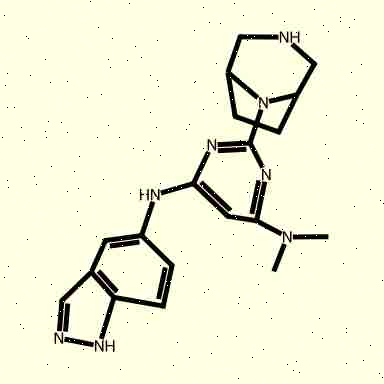 CN(C)c1cc(Nc2ccc3[nH]ncc3c2)nc(N2C3CCC2CNC3)n1